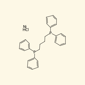 Cl.[Ni].c1ccc(P(CCCCP(c2ccccc2)c2ccccc2)c2ccccc2)cc1